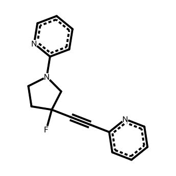 FC1(C#Cc2ccccn2)CCN(c2ccccn2)C1